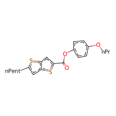 CCCCCc1cc2sc(C(=O)Oc3ccc(OCCC)cc3)cc2s1